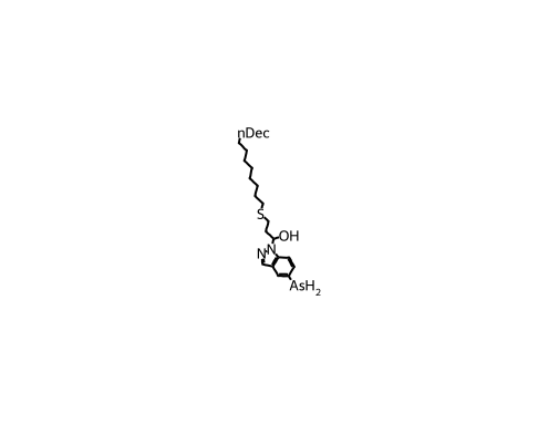 CCCCCCCCCCCCCCCCCCSCCC(O)n1ncc2cc([AsH2])ccc21